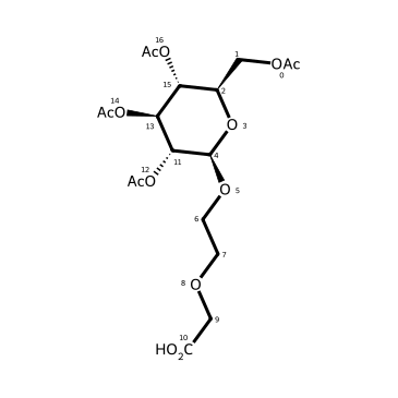 CC(=O)OC[C@H]1O[C@@H](OCCOCC(=O)O)[C@H](OC(C)=O)[C@@H](OC(C)=O)[C@@H]1OC(C)=O